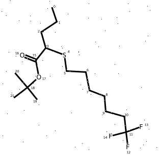 CCCC(SCCCCCCC(F)(F)F)C(=O)OC(C)(C)C